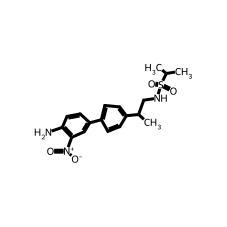 CC(CNS(=O)(=O)C(C)C)c1ccc(-c2ccc(N)c([N+](=O)[O-])c2)cc1